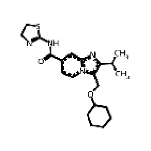 CC(C)c1nc2cc(C(=O)NC3=NCCS3)ccn2c1COC1CCCCC1